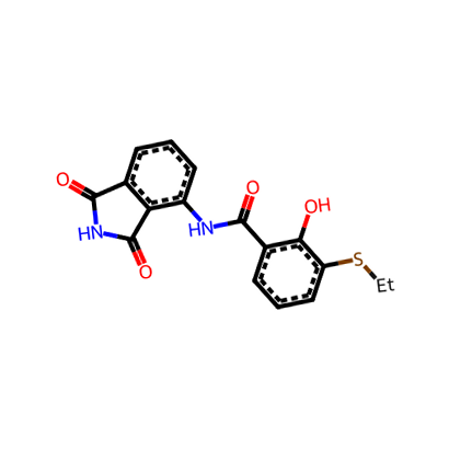 CCSc1cccc(C(=O)Nc2cccc3c2C(=O)NC3=O)c1O